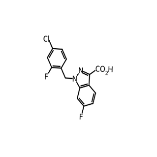 O=C(O)c1nn(Cc2ccc(Cl)cc2F)c2cc(F)ccc12